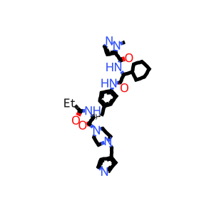 CCC(=O)N[C@H](Cc1ccc(NC(=O)C(NC(=O)c2ccnn2C)C2CCCCC2)cc1)C(=O)N1CCN(Cc2ccncc2)CC1